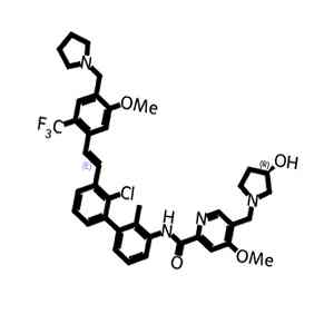 COc1cc(/C=C/c2cccc(-c3cccc(NC(=O)c4cc(OC)c(CN5CC[C@@H](O)C5)cn4)c3C)c2Cl)c(C(F)(F)F)cc1CN1CCCC1